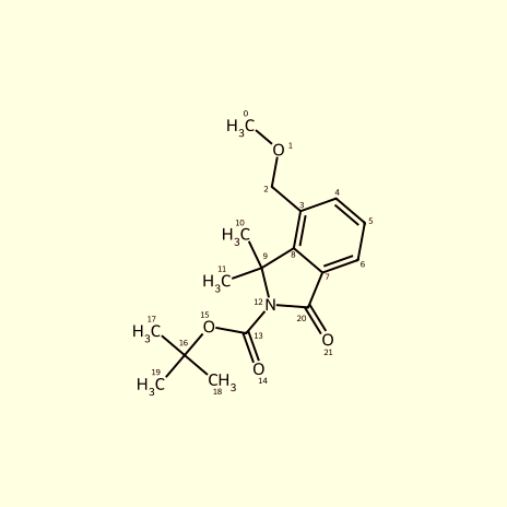 COCc1cccc2c1C(C)(C)N(C(=O)OC(C)(C)C)C2=O